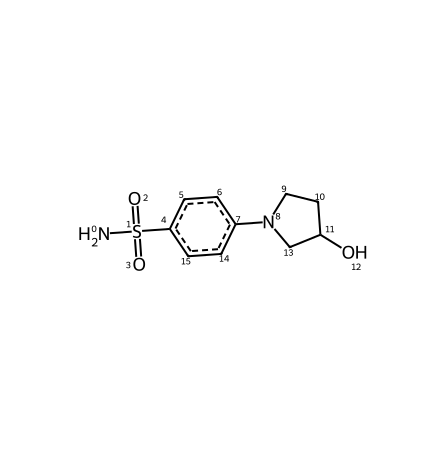 NS(=O)(=O)c1ccc(N2CCC(O)C2)cc1